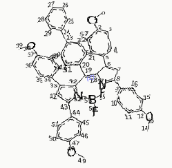 COc1ccc(C2=CC(c3ccc(OC)cc3)=N/C2=C(/c2ccc(-c3ccccc3)cc2)c2c(-c3ccc(OC)cc3)cc(-c3ccc(OC)cc3)n2B(F)F)cc1